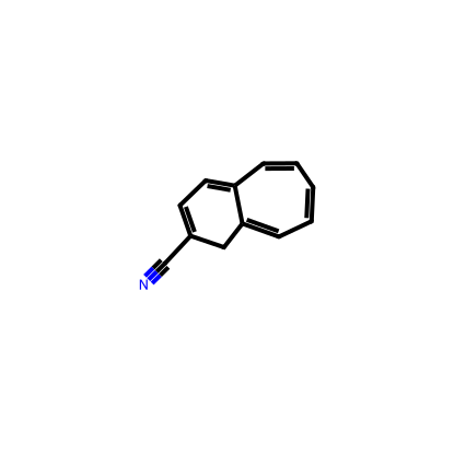 N#CC1=CC=C2C=CC=CC=C2C1